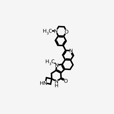 CN1CCOc2cc(-c3cc4c(cn3)CCc3c5c(n(C)c3-4)CC3(CNC3)NC5=O)ccc21